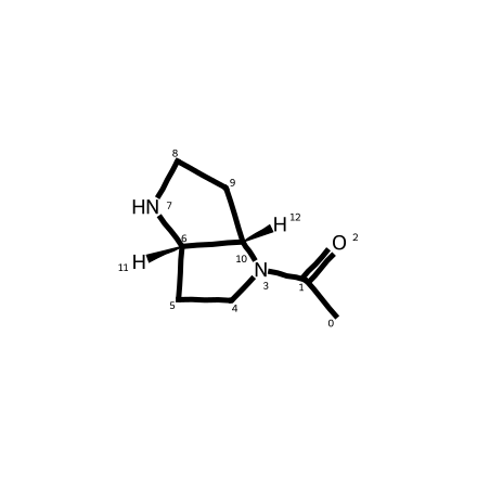 CC(=O)N1CC[C@@H]2NCC[C@@H]21